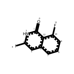 O=c1[nH]c(I)cc2cccc(F)c12